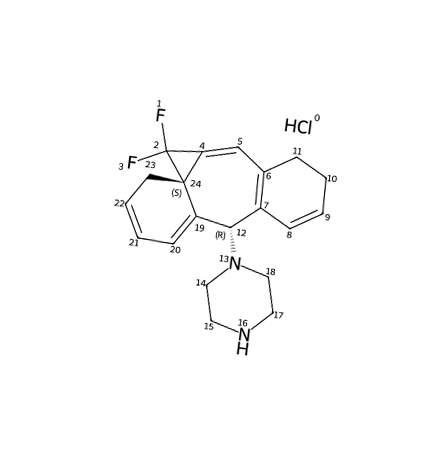 Cl.FC1(F)C2=CC3=C(C=CCC3)[C@H](N3CCNCC3)C3=CC=CC[C@]321